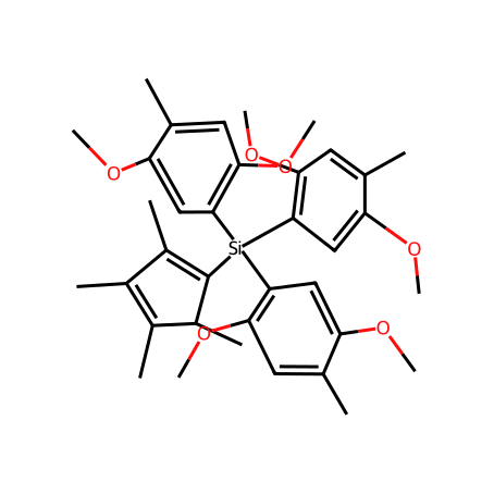 COc1cc([Si](C2=C(C)C(C)=C(C)C2C)(c2cc(OC)c(C)cc2OC)c2cc(OC)c(C)cc2OC)c(OC)cc1C